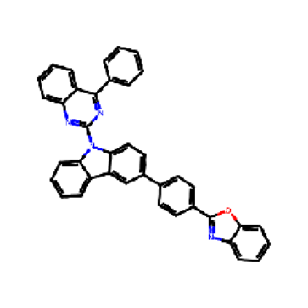 c1ccc(-c2nc(-n3c4ccccc4c4cc(-c5ccc(-c6nc7ccccc7o6)cc5)ccc43)nc3ccccc23)cc1